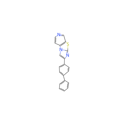 c1ccc(-c2ccc(-c3cn4c(n3)sc3cnccc34)cc2)cc1